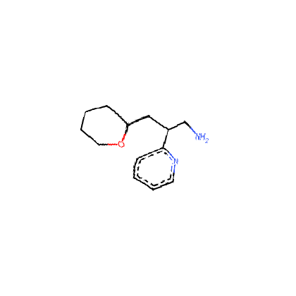 NCC(CC1CCCCO1)c1ccccn1